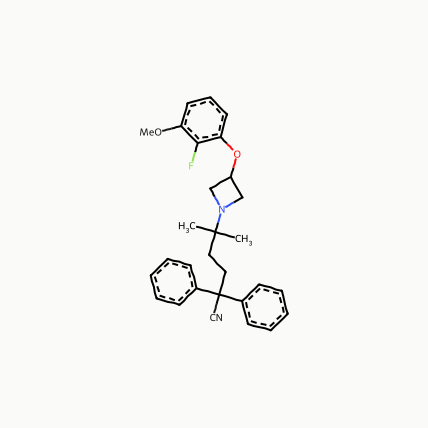 COc1cccc(OC2CN(C(C)(C)CCC(C#N)(c3ccccc3)c3ccccc3)C2)c1F